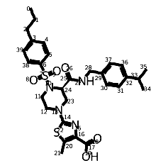 CCCc1ccc(S(=O)(=O)N2CCN(c3nc(C(=O)O)c(C)s3)C[C@@H]2C(=O)NCc2ccc(C(C)C)cc2)cc1